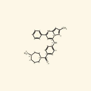 Cc1cc2nc(-c3ccccc3)cc(Nc3ccc(C(=O)N4CCCN(C)CC4)cc3)n2n1